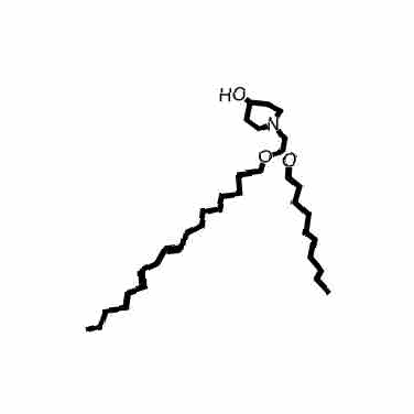 CCCCCC=CCC=CCCCCCCCCOC(CN1CCC(O)CC1)OCCCCCCCCCC